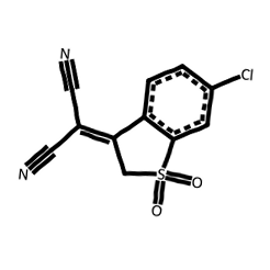 N#CC(C#N)=C1CS(=O)(=O)c2cc(Cl)ccc21